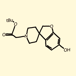 CC(C)(C)OC(=O)CN1CCC2(CC1)COc1cc(O)ccc12